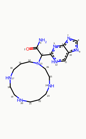 NC(=O)C(c1nc2ncnc-2c[nH]1)N1CCCNCCNCCCNCC1